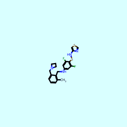 Cc1cccc(CN2CCC2)c1CNc1cc(F)c(SNc2cscn2)c(F)c1